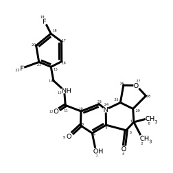 CC1(C)C(=O)c2c(O)c(=O)c(C(=O)NCc3ccc(F)cc3F)cn2C2COCC21